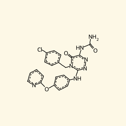 NC(=O)Nc1nnc(Nc2ccc(Oc3ccccn3)cc2)n(Cc2ccc(Cl)cc2)c1=O